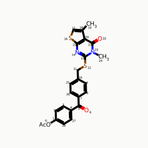 CC(=O)Oc1ccc(C(=O)c2ccc(CSc3nc4scc(C)c4c(=O)n3C)cc2)cc1